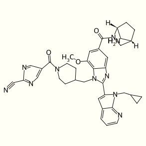 COc1cc(C(=O)N2C[C@H]3CC[C@@H]2[C@@H]3N)cc2nc(-c3cc4cccnc4n3CC3CC3)n(CC3CCN(C(=O)c4cnc(C#N)nc4)CC3)c12